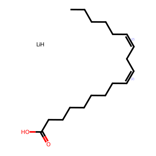 CCCCC/C=C\C/C=C\CCCCCCCC(=O)O.[LiH]